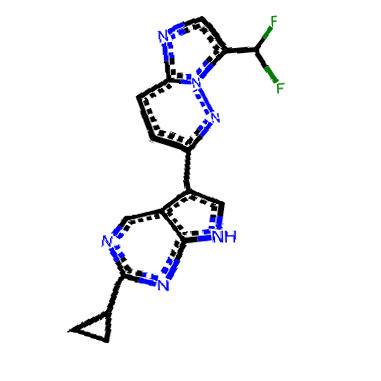 FC(F)c1cnc2ccc(-c3c[nH]c4nc(C5CC5)ncc34)nn12